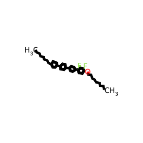 CCCCCCCCCCOc1ccc(-c2ccc(-c3ccc(-c4ccc(CCCCCCCC)cc4)cc3)cc2)c(F)c1F